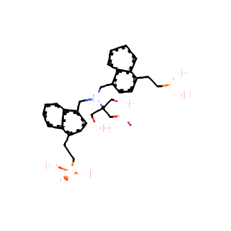 COCC(CO)(CO)N(Cc1ccc(CCP(O)O)c2ccccc12)Cc1ccc(CCP(=O)(O)O)c2ccccc12